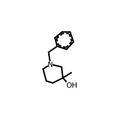 CC1(O)CCCN(Cc2ccccc2)C1